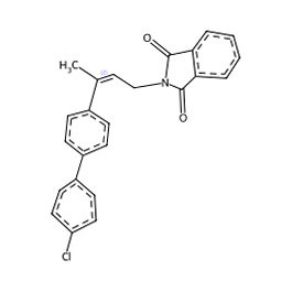 C/C(=C/CN1C(=O)c2ccccc2C1=O)c1ccc(-c2ccc(Cl)cc2)cc1